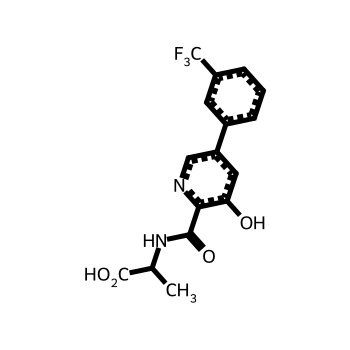 CC(NC(=O)c1ncc(-c2cccc(C(F)(F)F)c2)cc1O)C(=O)O